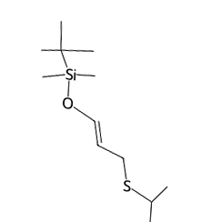 CC(C)SCC=CO[Si](C)(C)C(C)(C)C